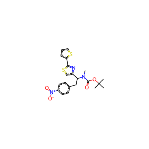 CN(C(=O)OC(C)(C)C)C(Cc1ccc([N+](=O)[O-])cc1)c1csc(-c2cccs2)n1